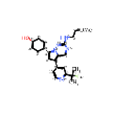 COCCNc1ncc2c(-c3ccnc(C(C)(C)F)c3)cc([C@H]3CC[C@H](O)CC3)n2n1